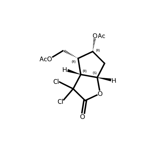 CC(=O)OC[C@H]1[C@@H]2[C@H](C[C@H]1OC(C)=O)OC(=O)C2(Cl)Cl